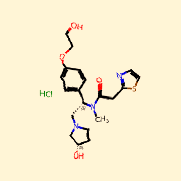 CN(C(=O)Cc1nccs1)[C@H](CN1CC[C@H](O)C1)c1ccc(OCCO)cc1.Cl